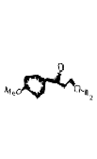 C=CCC(=O)c1ccc(OC)cc1